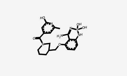 Cc1cc(C(=O)N2CCCC(COc3cccc4c3C(N)=NS(O)(O)N4)C2)cc(O)n1